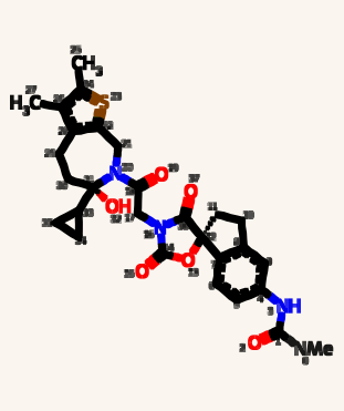 CNC(=O)Nc1ccc2c(c1)CC[C@@]21OC(=O)N(CC(=O)N2Cc3sc(C)c(C)c3CC[C@@]2(O)C2CC2)C1=O